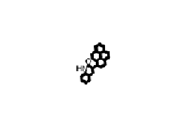 O=c1[nH]c2ccccc2cc1-c1ccc2ccc3cccc4ccc1c2c34